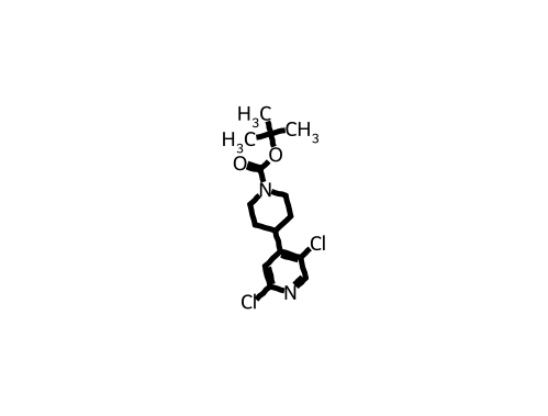 CC(C)(C)OC(=O)N1CCC(c2cc(Cl)ncc2Cl)CC1